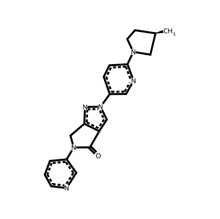 C[C@@H]1CCN(c2ccc(-n3cc4c(n3)CN(c3cccnc3)C4=O)cn2)C1